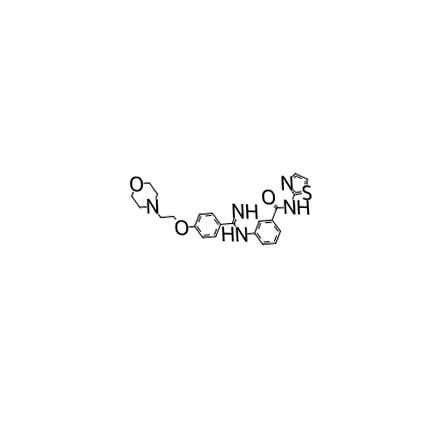 N=C(Nc1cccc(C(=O)Nc2nccs2)c1)c1ccc(OCCN2CCOCC2)cc1